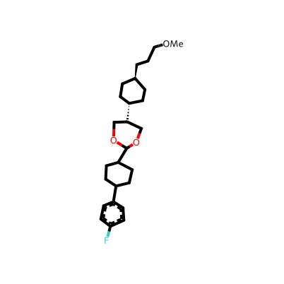 COCCC[C@H]1CC[C@H](C2COC(C3CCC(c4ccc(F)cc4)CC3)OC2)CC1